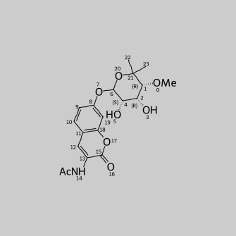 CO[C@@H]1[C@H](O)[C@H](O)C(Oc2ccc3cc(NC(C)=O)c(=O)oc3c2)OC1(C)C